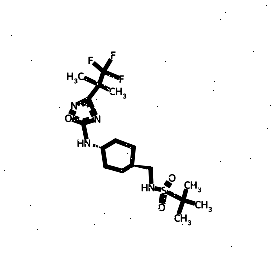 CC(C)(c1noc(N[C@H]2CC[C@H](CNS(=O)(=O)C(C)(C)C)CC2)n1)C(F)(F)F